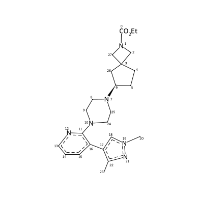 CCOC(=O)N1CC2(CC[C@@H](N3CCN(c4ncccc4-c4cn(C)nc4C)CC3)C2)C1